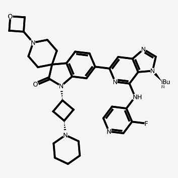 CC[C@H](C)n1cnc2cc(-c3ccc4c(c3)N([C@H]3C[C@@H](N5CCCCC5)C3)C(=O)C43CCN(C4COC4)CC3)nc(Nc3ccncc3F)c21